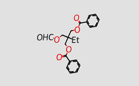 CCC(COC=O)(COC(=O)c1ccccc1)COC(=O)c1ccccc1